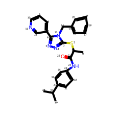 CC(Sc1nnc(-c2cccnc2)n1Cc1ccccc1)C(=O)Nc1ccc(C(C)C)cc1